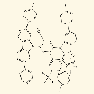 Cc1ccc(-c2ccc3c4ccc(-c5ccc(C)cc5)cc4n(-c4cc(-c5cc(C(F)(F)F)cc(C(F)(F)F)c5)c(-n5c6cc(-c7ccc(C)cc7)ccc6c6ccc(-c7ccc(C)cc7)cc65)cc4C#N)c3c2)cc1